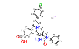 CC[N+](CCCN(C(N)=O)c1ccccc1)(CCc1ccc(Cl)cc1)Cc1ccc(C(=O)O)cc1.[I-]